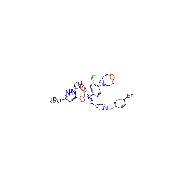 CCc1ccc(CN2CC3C(C2)C3CN(C(=O)Oc2cc(C(C)(C)C)nn2C)c2ccc(N3CCOCC3)c(F)c2)cc1